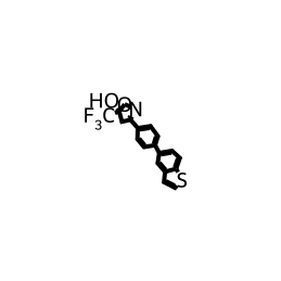 OC1(C(F)(F)F)CC(c2ccc(-c3ccc4sccc4c3)cc2)=NO1